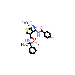 CCOC(=O)n1nc(NC(=O)c2ccc(F)cc2)c2c(C(=O)NC(C)(C)c3ccccc3)csc21